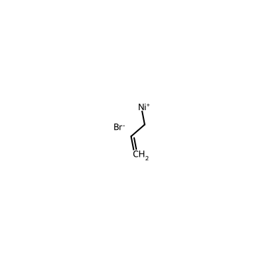 C=C[CH2][Ni+].[Br-]